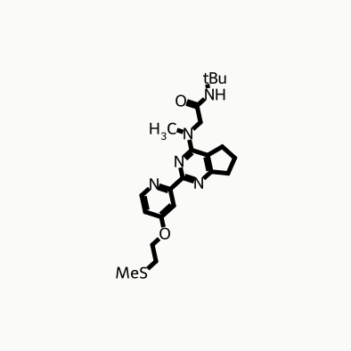 CSCCOc1ccnc(-c2nc3c(c(N(C)CC(=O)NC(C)(C)C)n2)CCC3)c1